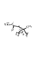 CCOC(=O)CC(C)(C)Br